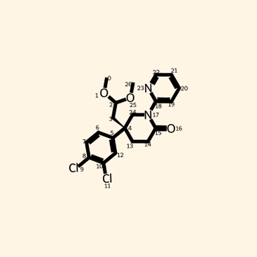 COC(C[C@]1(c2ccc(Cl)c(Cl)c2)CCC(=O)N(c2ccccn2)C1)OC